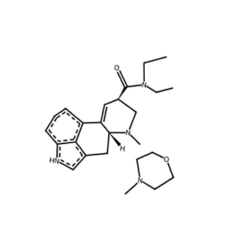 CCN(CC)C(=O)[C@@H]1C=C2c3cccc4[nH]cc(c34)C[C@H]2N(C)C1.CN1CCOCC1